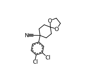 N#CC1(c2ccc(Cl)c(Cl)c2)CCC2(CC1)OCCO2